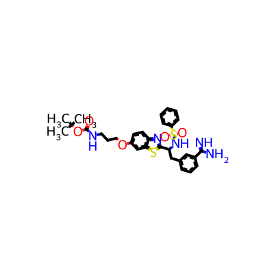 CC(C)(C)OC(=O)NCCCOc1ccc2nc(C(Cc3cccc(C(=N)N)c3)NS(=O)(=O)c3ccccc3)sc2c1